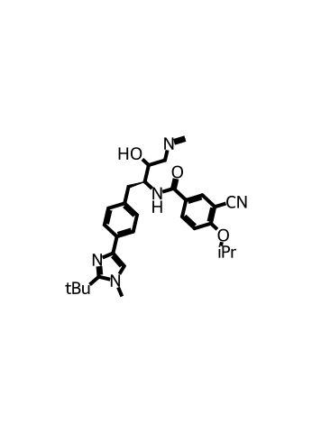 C=NCC(O)[C@H](Cc1ccc(-c2cn(C)c(C(C)(C)C)n2)cc1)NC(=O)c1ccc(OC(C)C)c(C#N)c1